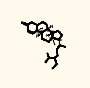 CCC(CCC(C)[C@H]1CC[C@H]2[C@@H]3CCC4CC(=O)C=C[C@]4(C)[C@H]3CC[C@]12C)C(C)C